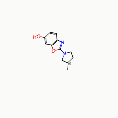 C[C@H]1CCN(c2nc3ccc(O)cc3o2)C1